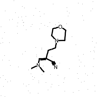 CN(C)/C=C(\C#N)CCN1CCOCC1